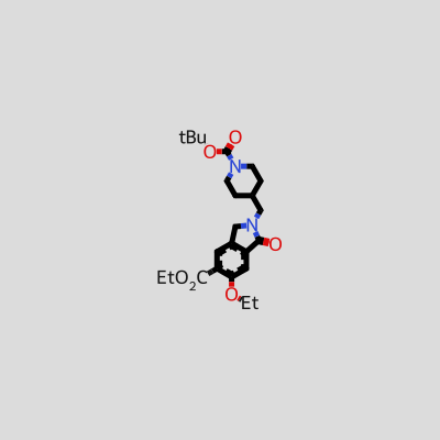 CCOC(=O)c1cc2c(cc1OCC)C(=O)N(CC1CCN(C(=O)OC(C)(C)C)CC1)C2